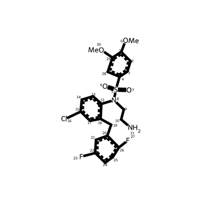 COc1ccc(S(=O)(=O)N(CCN)c2ccc(Cl)cc2Cc2cc(F)ccc2F)cc1OC